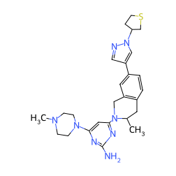 CC1Cc2ccc(-c3cnn(C4CCSC4)c3)cc2CN1c1cc(N2CCN(C)CC2)nc(N)n1